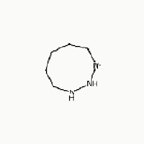 C1CC[N]NNCC1